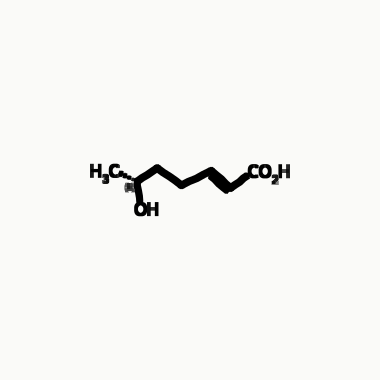 C[C@@H](O)CCC=CC(=O)O